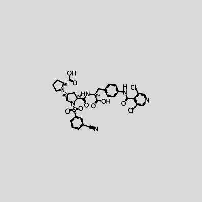 N#Cc1cccc(S(=O)(=O)N2C[C@H](N3CCC[C@@H]3C(=O)O)C[C@H]2C(=O)N[C@@H](Cc2ccc(NC(=O)c3c(Cl)cncc3Cl)cc2)C(=O)O)c1